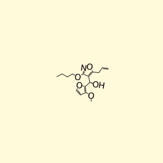 C=CCc1onc(OCCCC)c1[C@@H](O)c1occc1OC